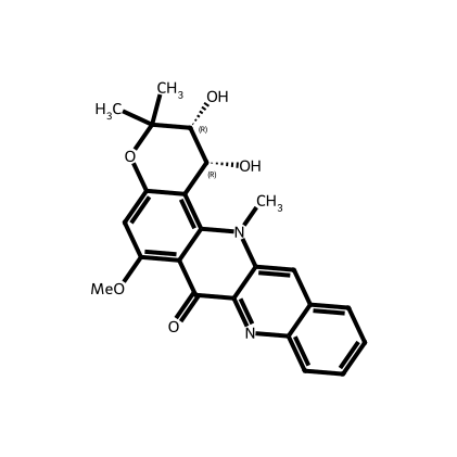 COc1cc2c(c3c1c(=O)c1nc4ccccc4cc1n3C)[C@@H](O)[C@@H](O)C(C)(C)O2